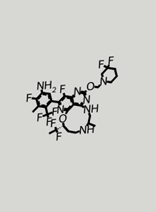 Cc1c(F)c(N)cc(-c2nc3c4c(nc(OCN5CCCC(F)(F)C5)nc4c2F)NCC(C)NCC[C@H](C(C)(F)F)O3)c1C(F)(F)F